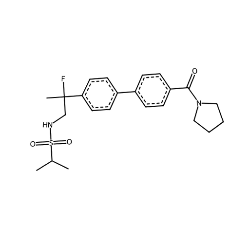 CC(C)S(=O)(=O)NCC(C)(F)c1ccc(-c2ccc(C(=O)N3CCCC3)cc2)cc1